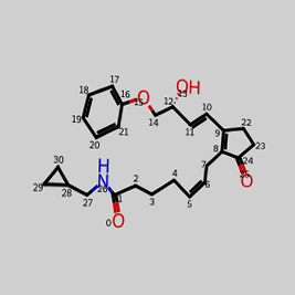 O=C(CCC/C=C\CC1=C(/C=C/[C@@H](O)COc2ccccc2)CCC1=O)NCC1CC1